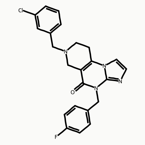 O=c1c2c(n3ccnc3n1Cc1ccc(F)cc1)CCN(Cc1cccc(Cl)c1)C2